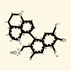 CCc1c(F)cc2c(-c3ccc4c5c(ccnc35)CCO4)c(CC(=O)O)c(C)cc2c1F